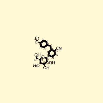 CCOc1ccc(Cc2cc([C@@H]3O[C@H](CO)[C@@H](O)[C@H](O)[C@H]3O)ccc2C#N)cc1